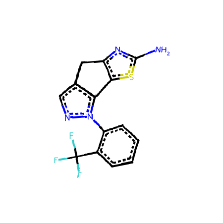 Nc1nc2c(s1)-c1c(cnn1-c1ccccc1C(F)(F)F)C2